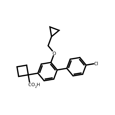 O=C(O)C1(c2ccc(-c3ccc(Cl)cc3)c(OCC3CC3)c2)CCC1